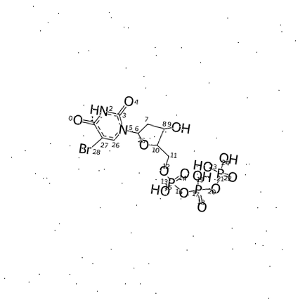 O=c1[nH]c(=O)n(C2CC(O)C(COP(=O)(O)OP(=O)(O)OP(=O)(O)O)O2)cc1Br